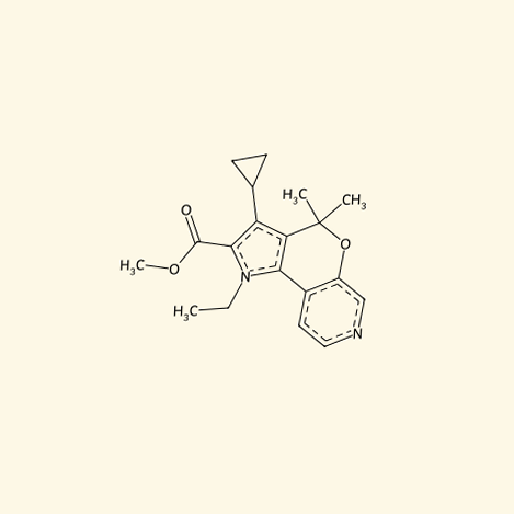 CCn1c(C(=O)OC)c(C2CC2)c2c1-c1ccncc1OC2(C)C